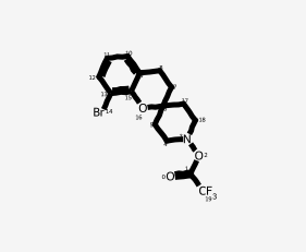 O=C(ON1CCC2(CCc3cccc(Br)c3O2)CC1)C(F)(F)F